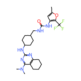 Cc1cc(NC(=O)NCC2CCC(Nc3nc4c(c(N(C)C)n3)CCCC4)CC2)c(C(F)(F)F)o1